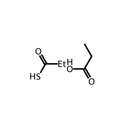 CCC(=O)O.CCC(=O)S